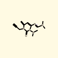 C#CCN1C(=C)C=C(/N=C/N(C)C)N(N(C)C)C1=O